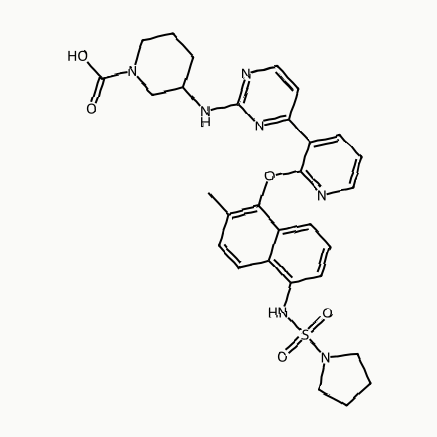 Cc1ccc2c(NS(=O)(=O)N3CCCC3)cccc2c1Oc1ncccc1-c1ccnc(NC2CCCN(C(=O)O)C2)n1